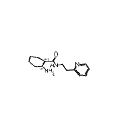 N[C@H]1CCCC[C@H]1C(=O)NCCc1ccccn1